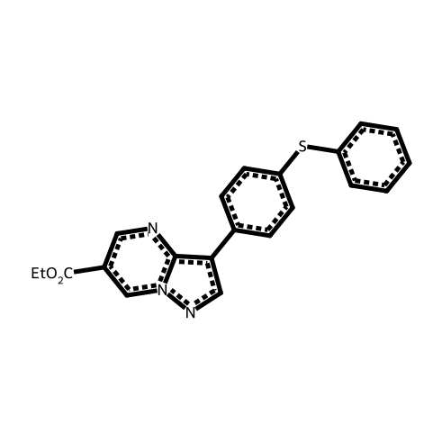 CCOC(=O)c1cnc2c(-c3ccc(Sc4ccccc4)cc3)cnn2c1